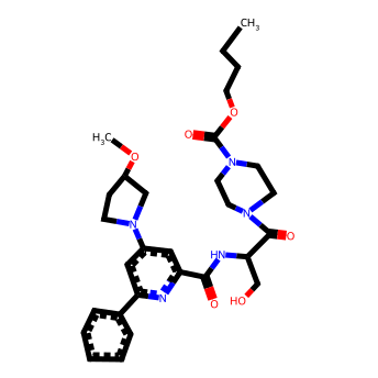 CCCCOC(=O)N1CCN(C(=O)C(CO)NC(=O)c2cc(N3CCC(OC)C3)cc(-c3ccccc3)n2)CC1